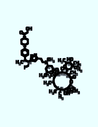 CC[C@H]1OC(=O)[C@H](C)[C@@H](C2C[C@@](C)(OC)[C@@H](O)[C@H](C)O2)[C@H](C)[C@@H](O[C@H]2C[C@@H](N(C)CCc3cn([C@H](CF)[C@H](C)c4ccc(N5CCN(C(=O)CO)CC5)cc4)nn3)C[C@@H](C)O2)[C@](C)(O)C[C@@H](C)CN(C)[C@H](C)[C@@H](O)[C@]1(C)O